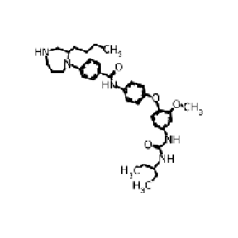 CCCCC1CNCCCN1c1ccc(C(=O)Nc2ccc(Oc3ccc(NC(=O)NC(CC)CC)cc3OC)cc2)cc1